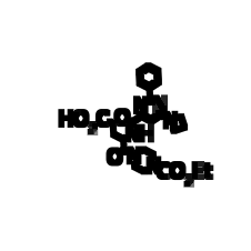 CCOC(=O)N1CCN(C(=O)C(CCC(=O)O)NC(=O)c2cc(N3CCC3)nc(-c3ccccc3)n2)CC1